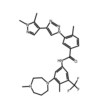 Cc1ccc(C(=O)Nc2cc(N3CCCN(C)CC3)c(C)c(C(F)(F)F)c2)cc1-n1cc(-c2cnn(C)c2C)nn1